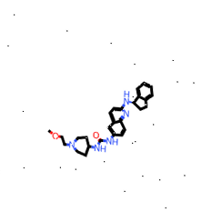 COCCN1CCC(NC(=O)Nc2ccc3nc(N[C@@H]4CCc5ccccc54)ccc3c2)CC1